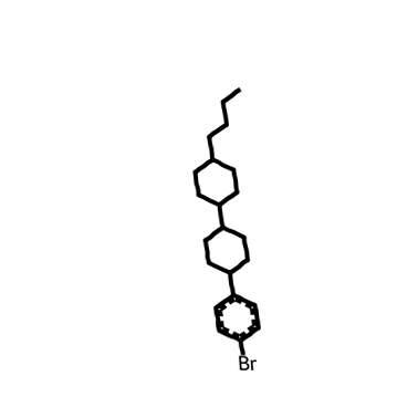 CCCCC1CCC(C2CCC(c3ccc(Br)cc3)CC2)CC1